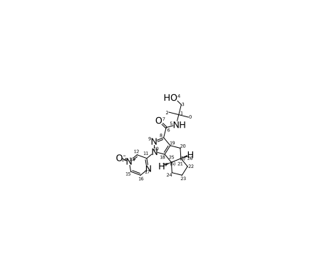 CC(C)(CO)NC(=O)c1nn(-c2c[n+]([O-])ccn2)c2c1C[C@@H]1CCC[C@H]21